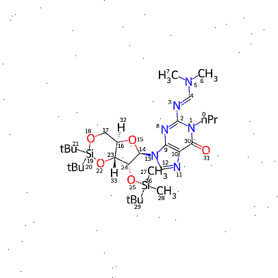 [CH2][CH]Cn1c(/N=C/N(C)C)nc2c(ncn2[C@@H]2O[C@@H]3CO[Si](C(C)(C)C)(C(C)(C)C)O[C@H]3[C@H]2O[Si](C)(C)C(C)(C)C)c1=O